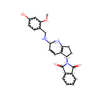 COc1cc(O)ccc1CNC(C)/C=C\C1=C(N)CC[C@H]1N1C(=O)c2ccccc2C1=O